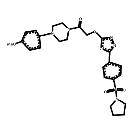 COc1ccc(N2CCN(C(=O)CSc3nnc(-c4ccc(S(=O)(=O)N5CCCC5)cc4)o3)CC2)cc1